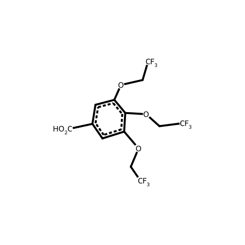 O=C(O)c1cc(OCC(F)(F)F)c(OCC(F)(F)F)c(OCC(F)(F)F)c1